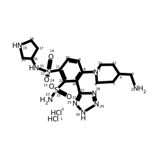 Cl.Cl.NCC1CCN(c2ccc(S(=O)(=O)NC3CCNC3)c(S(N)(=O)=O)c2-c2nn[nH]n2)CC1